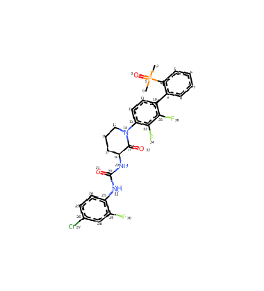 CP(C)(=O)c1ccccc1-c1ccc(N2CCCC(NC(=O)Nc3ccc(Cl)cc3F)C2=O)c(F)c1F